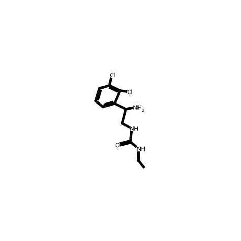 CCNC(=O)NCC(N)c1cccc(Cl)c1Cl